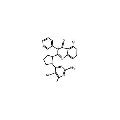 Cc1nc(N)nc(N2CCC[C@H]2c2nc3cccc(Cl)c3c(=O)n2-c2ccccc2)c1C#N